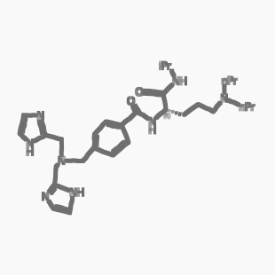 CCCN(CCC)CCC[C@H](NC(=O)c1ccc(CN(Cc2ncc[nH]2)Cc2ncc[nH]2)cc1)C(=O)NC(C)C